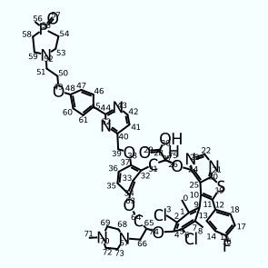 Cc1c(Cl)c2c(Cl)c(C)c1-c1c(-c3ccc(F)cc3)sc3ncnc(c13)O[C@@H](C(=O)O)Cc1cc(ccc1OCc1ccnc(-c3ccc(OCCN4CCP(C)(=O)CC4)cc3)n1)OCC(CN1CCN(C)CC1)O2